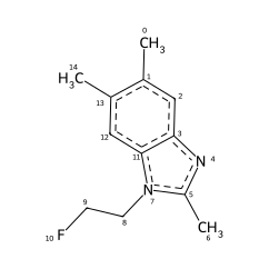 Cc1cc2nc(C)n(CCF)c2cc1C